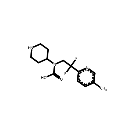 Cc1ccc(C(F)(F)CN(C(=O)O)C2CCNCC2)nc1